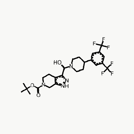 CC(C)(C)OC(=O)N1CCc2c(C(O)N3CCC(c4cc(C(F)(F)F)cc(C(F)(F)F)c4)CC3)n[nH]c2C1